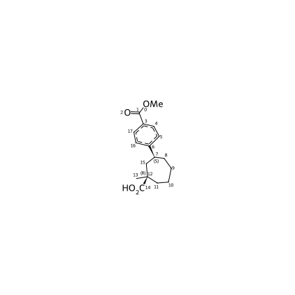 COC(=O)c1ccc([C@H]2CCCC[C@@](C)(C(=O)O)C2)cc1